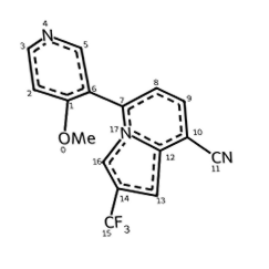 COc1ccncc1-c1ccc(C#N)c2cc(C(F)(F)F)cn12